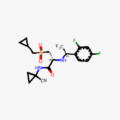 N#CC1(NC(=O)[C@H](CS(=O)(=O)CC2CC2)N[C@H](c2ccc(F)cc2F)C(F)(F)F)CC1